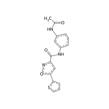 CC(=O)Nc1cccc(NC(=O)c2cc(-c3cccs3)on2)c1